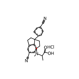 CC(C(=O)O)N(C)CCCC1(c2ccc(C#N)cc2)CCc2cc(C#N)ccc21.Cl